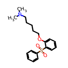 CN(C)CCCCCOc1ccccc1S(=O)(=O)c1ccccc1